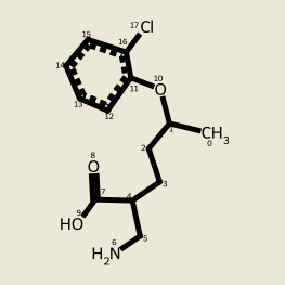 CC(CCC(CN)C(=O)O)Oc1ccccc1Cl